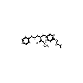 COC(=O)C(CCCc1ccccc1)Cc1ccc(OCCCl)cc1